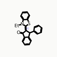 CCN1/C(=C2\C(=O)c3ccccc3C2c2ccccc2)Sc2ccccc21